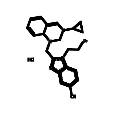 CC(C)CCn1c(CN2CN(C3CC3)C=C3C=CC=CC32)nc2cc(C#N)ccc21.Cl